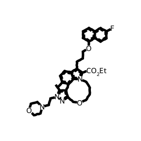 CCOC(=O)c1c(CCCOc2cccc3cc(F)ccc23)c2ccc(C)c3c2n1CCCCOCc1nn(CCN2CCOCC2)c(C)c1-3